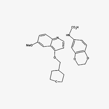 COc1ccc2nccc(OCC3CCCCC3)c2c1.O=C(O)Nc1ccc2c(c1)OCCO2